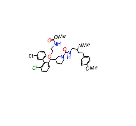 CCc1cccc(-c2c(Cl)cccc2[C@H](OCCNC(=O)OC)[C@@H]2CCCN(C(=O)NC[C@H](CCc3ccc(OC)cc3)NC)C2)c1